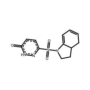 O=c1ccc(S(=O)(=O)N2CCC3CC=CC=C32)n[nH]1